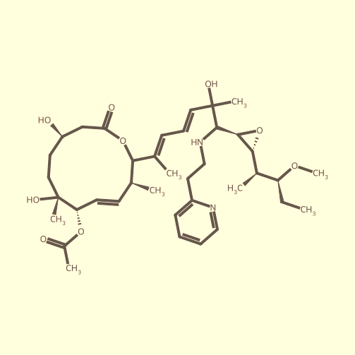 CC[C@H](OC)[C@@H](C)[C@H]1O[C@@H]1C(NCCc1ccccn1)C(C)(O)/C=C/C=C(\C)C1OC(=O)C[C@H](O)CC[C@@](C)(O)[C@@H](OC(C)=O)/C=C/[C@@H]1C